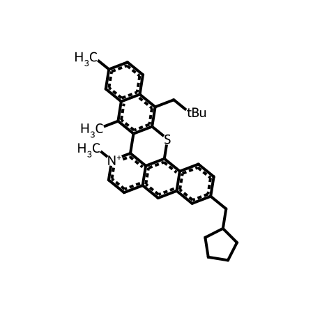 Cc1ccc2c(CC(C)(C)C)c3c(c(C)c2c1)-c1c2c(c4ccc(CC5CCCC5)cc4cc2cc[n+]1C)S3